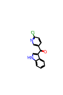 O=C(c1ccc(Cl)nc1)c1c[nH]c2ccccc12